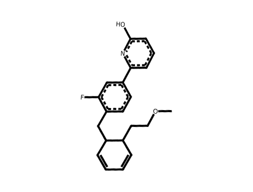 COCCC1C=CC=CC1Cc1ccc(-c2cccc(O)n2)cc1F